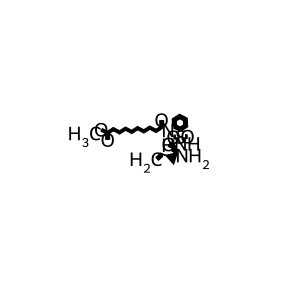 C=C[C@@H]1C[C@@]1(N)C(=O)NS(=O)(=O)c1ccccc1NC(=O)CCCCCCCCC(=O)OC